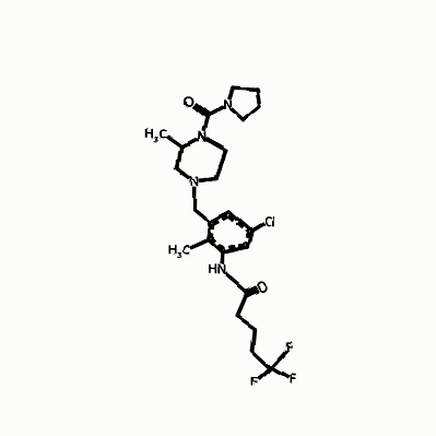 Cc1c(CN2CCN(C(=O)N3CCCC3)C(C)C2)cc(Cl)cc1NC(=O)CCCC(F)(F)F